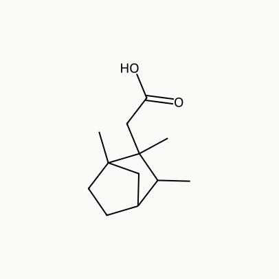 CC1C2CCC(C)(C2)C1(C)CC(=O)O